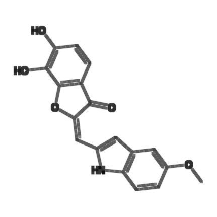 COc1ccc2[nH]c(C=C3Oc4c(ccc(O)c4O)C3=O)cc2c1